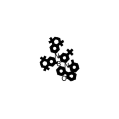 Cc1ccccc1N1c2cc(C(C)(C)C)cc3c2B(c2cc4c(cc2N3c2ccc3c(c2)C(C)(C)CCC3(C)C)C(C)(C)CCC4(C)C)c2ccc3oc4ccccc4c3c21